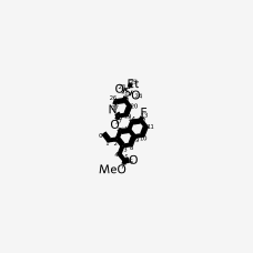 C=Cc1c(CC(=O)OC)cc2ccc(F)cc2c1Oc1ccc(S(=O)(=O)CC)cn1